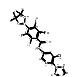 CC1(C)OB(c2c(F)c(F)c(C(=O)Nc3cnc(-n4nccn4)c(Cl)c3)c(F)c2F)OC1(C)C